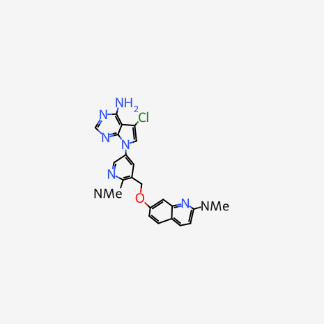 CNc1ccc2ccc(OCc3cc(-n4cc(Cl)c5c(N)ncnc54)cnc3NC)cc2n1